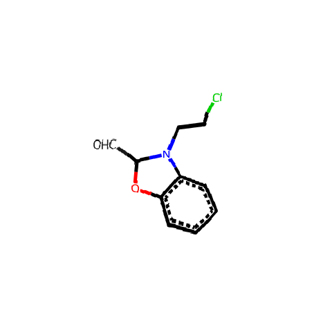 O=CC1Oc2ccccc2N1CCCl